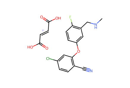 CNCc1cc(Oc2cc(Cl)ccc2C#N)ccc1F.O=C(O)/C=C/C(=O)O